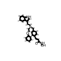 O=C(/C=C/c1ccc(CN(CCOc2ccccc2)CCc2c[nH]c3ccccc23)cc1)NO